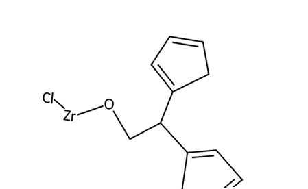 [Cl][Zr][O]CC(C1=CC=CC1)C1=CC=CC1